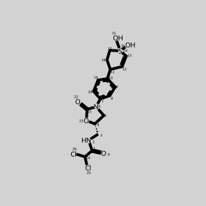 O=C(NC[C@H]1CN(c2ccc(C3C=CS(O)(O)CC3)cc2)C(=O)O1)C(Cl)Cl